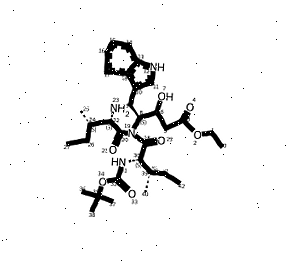 CCOC(=O)CC(O)[C@H](Cc1c[nH]c2ccccc12)N(C(=O)[C@@H](N)[C@@H](C)CC)C(=O)[C@@H](NC(=O)OC(C)(C)C)[C@@H](C)CC